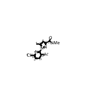 CNC(=O)c1cc(C)n(-c2nc(Cl)ccc2C(C)=O)n1